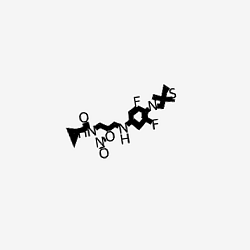 O=NOC(CNC(=O)C1CC1)CNc1cc(F)c(N2CC3(CSC3)C2)c(F)c1